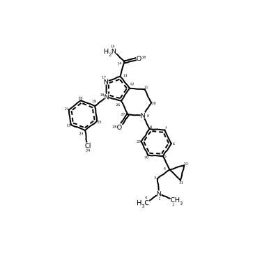 CN(C)CC1(c2ccc(N3CCc4c(C(N)=O)nn(-c5cccc(Cl)c5)c4C3=O)cc2)CC1